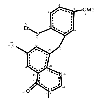 CCSc1ccc(OC)cc1Cc1cc(C(F)(F)F)cc2c(=O)[nH]cnc12